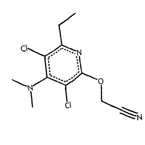 CCc1nc(OCC#N)c(Cl)c(N(C)C)c1Cl